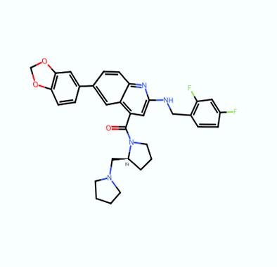 O=C(c1cc(NCc2ccc(F)cc2F)nc2ccc(-c3ccc4c(c3)OCO4)cc12)N1CCC[C@H]1CN1CCCC1